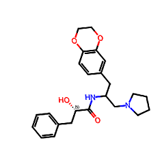 O=C(NC(Cc1ccc2c(c1)OCCO2)CN1CCCC1)[C@@H](O)Cc1ccccc1